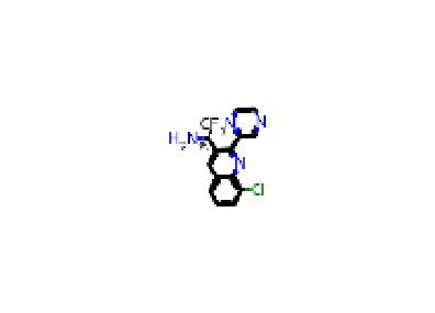 N[C@H](c1cc2cccc(Cl)c2nc1-c1cnccn1)C(F)(F)F